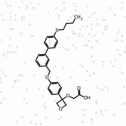 CCCCSc1ccc(-c2cccc(COc3ccc(C4(OCC(=O)O)COC4)cc3)c2)cc1